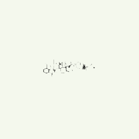 CCc1cccc(CC)c1NC(=O)c1nn(C)c2c1CCc1cnc(NC3CCN(S(=O)(=O)CCN(C)C)CC3)nc1-2